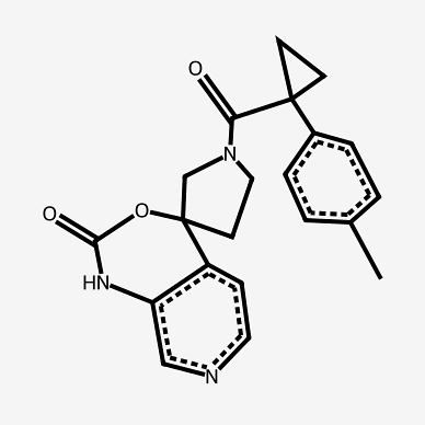 Cc1ccc(C2(C(=O)N3CCC4(C3)OC(=O)Nc3cnccc34)CC2)cc1